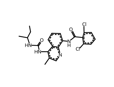 CCC(C)NC(=O)Nc1c(C)cnc2c(NC(=O)c3c(Cl)cccc3Cl)cccc12